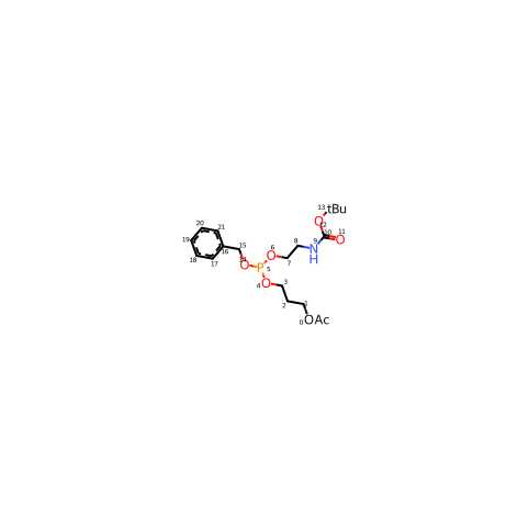 CC(=O)OCCCOP(OCCNC(=O)OC(C)(C)C)OCc1ccccc1